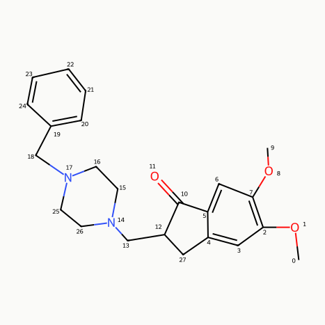 COc1cc2c(cc1OC)C(=O)C(CN1CCN(Cc3ccccc3)CC1)C2